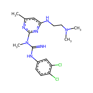 Cc1cc(NCCN(C)C)nc(N(C)C(=N)Nc2ccc(Cl)c(Cl)c2)n1